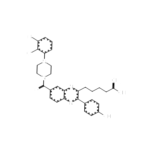 C=C(C)CCCCc1nc2cc(C(=O)N3CCN(c4cccc(Cl)c4Cl)CC3)ccc2nc1-c1ccc(C)cc1